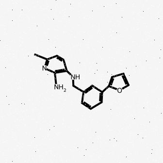 Cc1ccc(NCc2cccc(-c3ccco3)c2)c(N)n1